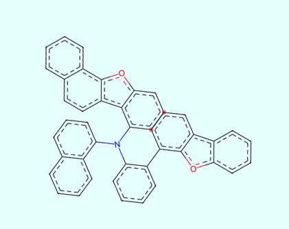 c1ccc(N(c2cccc3ccccc23)c2cccc3oc4c5ccccc5ccc4c23)c(-c2cccc3c2oc2ccccc23)c1